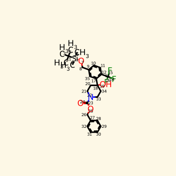 CC(C)(C)[Si](C)(C)OCc1ccc(C(F)(F)F)c(C2(O)CCN(C(=O)OCc3ccccc3)CC2)c1